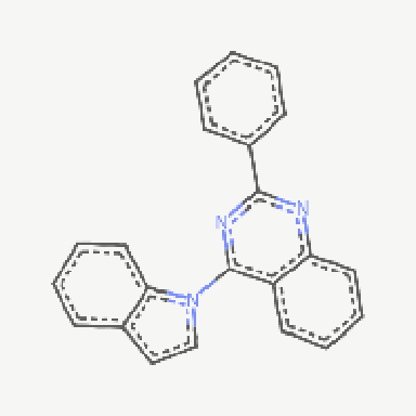 c1ccc(-c2nc(-n3ccc4ccccc43)c3ccccc3n2)cc1